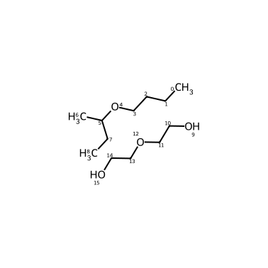 CCCCOC(C)CC.OCCOCCO